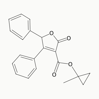 CC1(OC(=O)C2=C(c3ccccc3)C(c3ccccc3)OC2=O)CC1